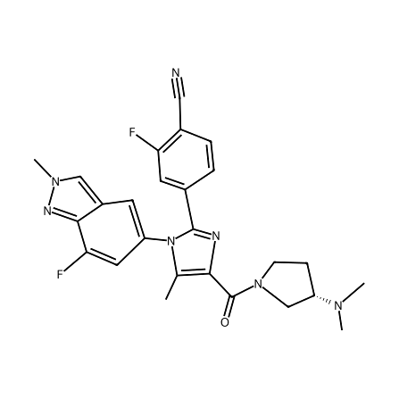 Cc1c(C(=O)N2CC[C@H](N(C)C)C2)nc(-c2ccc(C#N)c(F)c2)n1-c1cc(F)c2nn(C)cc2c1